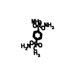 CP(=O)(ON)c1ccc(P(=O)(ON)ON)cc1